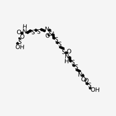 O=C(NCCSCSCC/N=C\[S+]([O-])CCSCSCCSC(=O)NCCSCSCC/N=C/OOCSCO)OCSCO